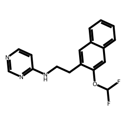 FC(F)Oc1cc2ccccc2cc1CCNc1ccncn1